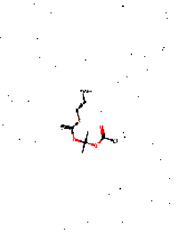 C=C(OC(C)(C)OC(=O)CC)SCCOC